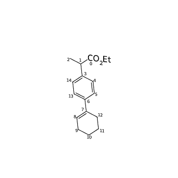 CCOC(=O)C(C)c1ccc(C2=CCCCC2)cc1